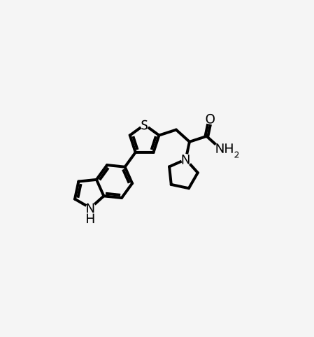 NC(=O)C(Cc1cc(-c2ccc3[nH]ccc3c2)cs1)N1CCCC1